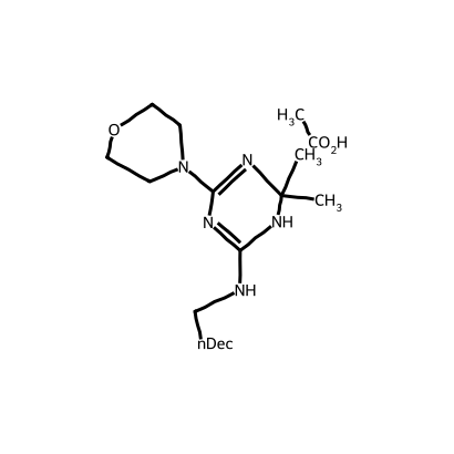 CC(=O)O.CCCCCCCCCCCNC1=NC(N2CCOCC2)=NC(C)(C)N1